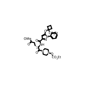 CCOC(=O)ON1CCN(C(=O)[C@H](CCC(=O)OC)NC(=O)c2cc(OC3(C(=O)OCC)CCC3)n(-c3ccccc3)n2)CC1